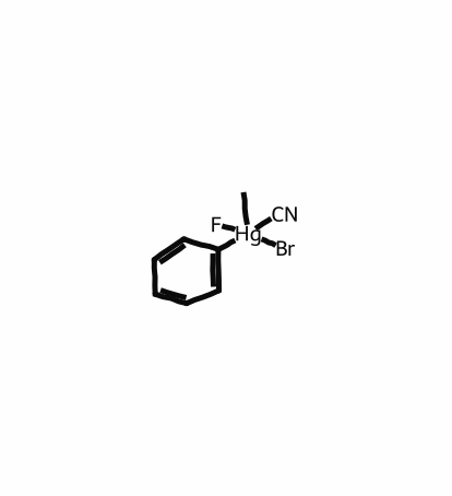 [CH3][Hg]([F])([Br])([C]#N)[c]1ccccc1